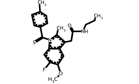 CCCNC(=O)Cc1c(C)n(C(=S)c2ccc(C)cc2)c2cc(F)c(OC)cc12